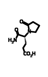 NC(=O)[C@@H](CCC(=O)O)N1CCCC1=O